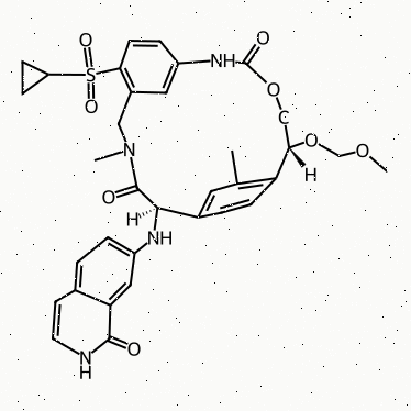 COCO[C@H]1COC(=O)Nc2ccc(S(=O)(=O)C3CC3)c(c2)CN(C)C(=O)[C@H](Nc2ccc3cc[nH]c(=O)c3c2)c2ccc1c(C)c2